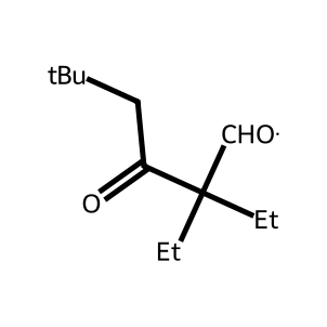 CCC([C]=O)(CC)C(=O)CC(C)(C)C